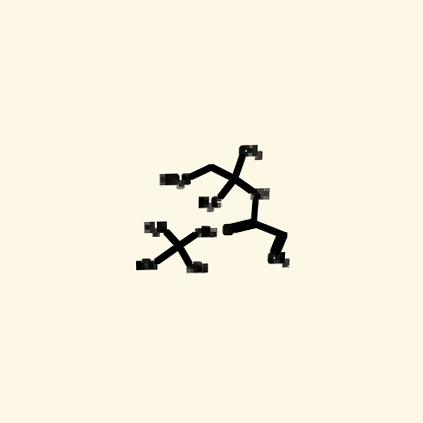 C=CC(=O)NC(C)(C)CS(=O)(=O)O.CCCCC(N)(CCCC)CCCC